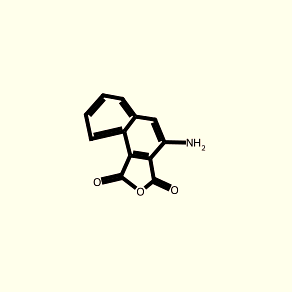 Nc1cc2ccccc2c2c1C(=O)OC2=O